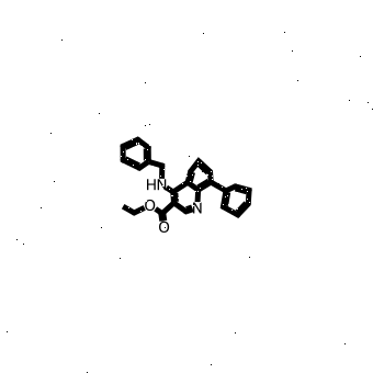 CCOC(=O)c1cnc2c(-c3ccccc3)cccc2c1NCc1ccccc1